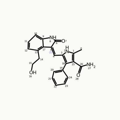 Cc1[nH]c(/C=C2\C(=O)Nc3cccc(CCO)c32)c(-c2ccccc2)c1C(N)=O